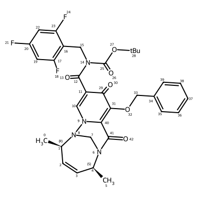 C[C@@H]1C=C[C@H](C)N2CN1n1cc(C(=O)N(Cc3c(F)cc(F)cc3F)C(=O)OC(C)(C)C)c(=O)c(OCc3ccccc3)c1C2=O